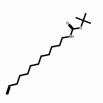 C=CCCCCCCCCCCNC(=O)OC(C)(C)C